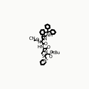 CC(C)(C)OC(=O)C1=C(C[n+]2ccccc2)SCC2C(NC(=O)C(=NOCC#N)c3csc(NC(c4ccccc4)(c4ccccc4)c4ccccc4)n3)C(=O)N12